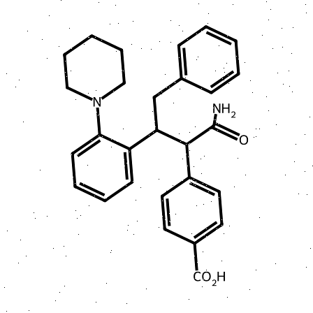 NC(=O)C(c1ccc(C(=O)O)cc1)C(Cc1ccccc1)c1ccccc1N1CCCCC1